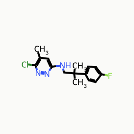 Cc1cc(NCC(C)(C)c2ccc(F)cc2)nnc1Cl